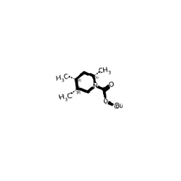 C[C@@H]1C[C@H](C)N(C(=O)OC(C)(C)C)C[C@@H]1C